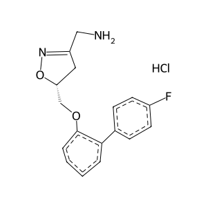 Cl.NCC1=NO[C@@H](COc2ccccc2-c2ccc(F)cc2)C1